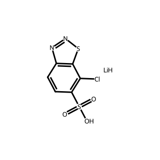 O=S(=O)(O)c1ccc2nnsc2c1Cl.[LiH]